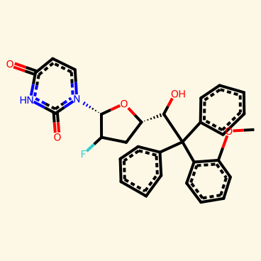 COc1ccccc1C(c1ccccc1)(c1ccccc1)C(O)[C@@H]1CC(F)[C@H](n2ccc(=O)[nH]c2=O)O1